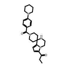 CCC(=O)c1ccc2n1CCNC21CCN(C(=O)c2ccc(N3CCCCC3)cc2)CC1